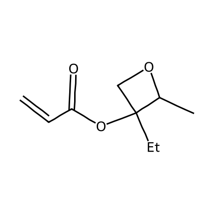 C=CC(=O)OC1(CC)COC1C